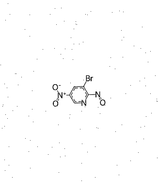 O=Nc1ncc([N+](=O)[O-])cc1Br